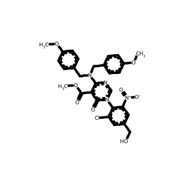 COC(=O)c1c(N(Cc2ccc(OC)cc2)Cc2ccc(OC)cc2)ncn(-c2c(Cl)cc(CO)cc2[N+](=O)[O-])c1=O